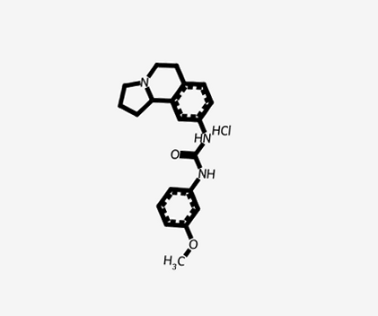 COc1cccc(NC(=O)Nc2ccc3c(c2)C2CCCN2CC3)c1.Cl